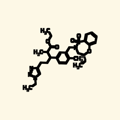 CCOC(=O)C(C)C(CCc1cn(CC)nn1)c1ccc(C)c(CN2C[C@@H](CC)Oc3ccccc3S2(=O)=O)c1